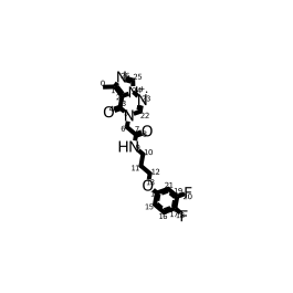 CC1=C2C(=O)N(CC(=O)NCCCOc3ccc(F)c(F)c3)C=N[N+]2C=N1